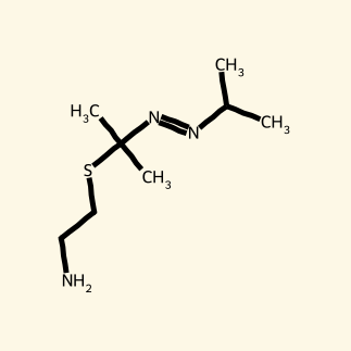 CC(C)N=NC(C)(C)SCCN